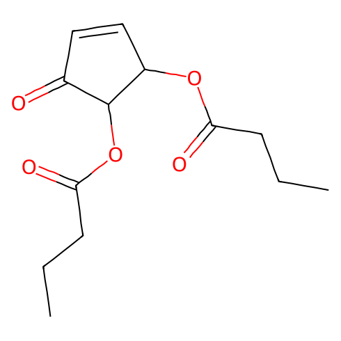 CCCC(=O)OC1C=CC(=O)C1OC(=O)CCC